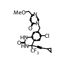 COCc1cc(=O)n(Cc2cc3c(cc2Cl)C(C#CC2CC2)(C(F)(F)F)NC(=O)N3)cn1